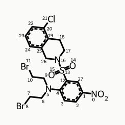 O=[N+]([O-])c1ccc(N(CCBr)CCBr)c(S(=O)(=O)N2CCc3c(Cl)cccc3C2)c1